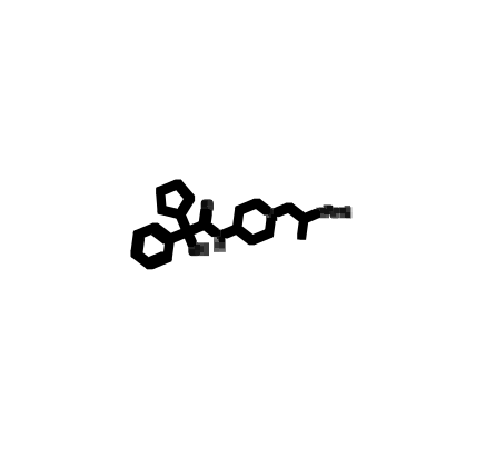 CCCCCC(C)CN1CCC(NC(=O)C(O)(c2ccccc2)C2CCCC2)CC1